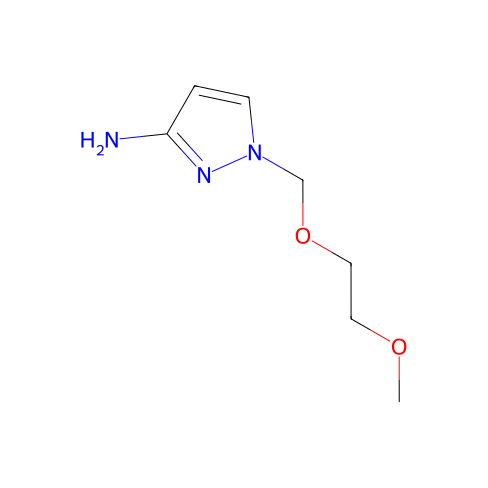 COCCOCn1ccc(N)n1